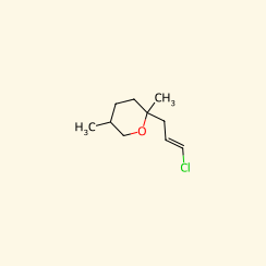 CC1CCC(C)(CC=CCl)OC1